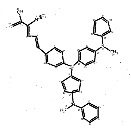 [C-]#[N+]/C(=C\C=C\c1ccc(N(c2ccc(N(C)c3ccccc3)cc2)c2ccc(N(C)c3ccccc3)cc2)cc1)C(=O)O